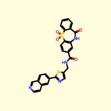 O=C(NCc1cnc(-c2ccc3cnccc3c2)s1)c1ccc2c(c1)NC(=O)c1ccccc1S2(=O)=O